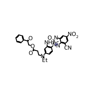 CCN(CCC(=O)OCC(=O)c1ccccc1)c1ccc(/N=N/c2c(C#N)cc([N+](=O)[O-])cc2[N+](=O)[O-])c(NC(C)=O)c1